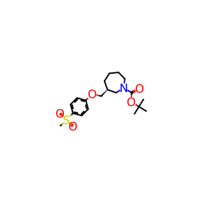 CC(C)(C)OC(=O)N1CCCC[C@H](COc2ccc(S(C)(=O)=O)cc2)C1